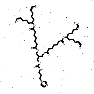 CC/C=C\CCCC(CCC/C=C\CC)OC(=O)CCCCCC(=O)OCC(COC(=O)CCCCCC(=O)OC(CCC/C=C\CC)CCC/C=C\CC)COC(=O)NCCCn1ccnc1